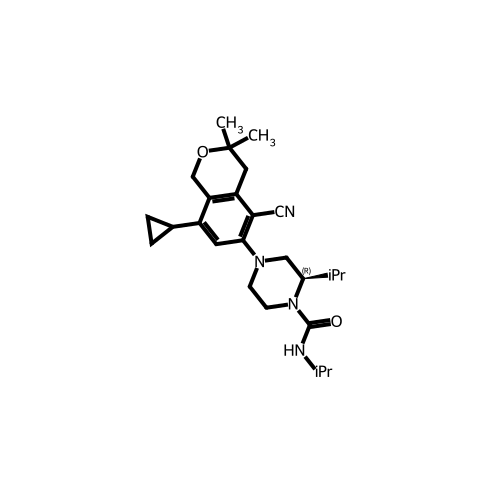 CC(C)NC(=O)N1CCN(c2cc(C3CC3)c3c(c2C#N)CC(C)(C)OC3)C[C@H]1C(C)C